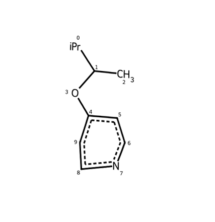 CC(C)C(C)Oc1ccncc1